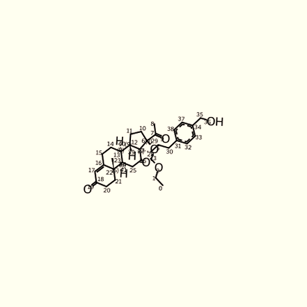 CCOC(=O)O[C@]1(C(C)=O)CC[C@H]2[C@@H]3CCC4=CC(=O)CC[C@@]4(C)[C@@H]3CC[C@@]21CCCc1ccc(CO)cc1